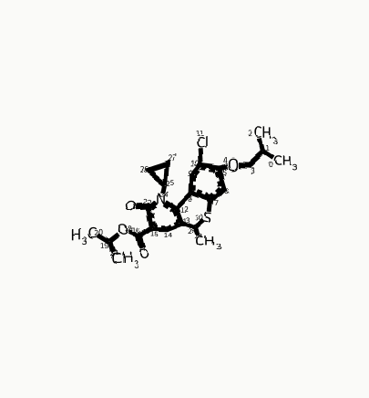 CC(C)COc1cc2c(cc1Cl)-c1c(cc(C(=O)OC(C)C)c(=O)n1C1CC1)C(C)S2